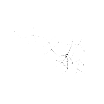 FOC(F)(F)C(F)(F)OC(F)(F)C(F)(F)OC12C(F)(F)C3(F)C(F)(F)C(F)(C(F)(F)C(F)(C3(F)F)C1(F)F)C2(F)F